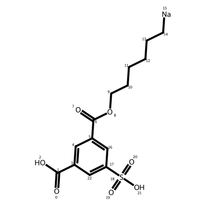 O=C(O)c1cc(C(=O)OCCCCC[CH2][Na])cc(S(=O)(=O)O)c1